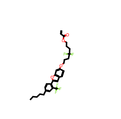 C=CC(=O)OCCCC(F)(F)CCCOc1ccc2cc(-c3ccc(CCCCC)cc3C(F)(F)F)oc2c1